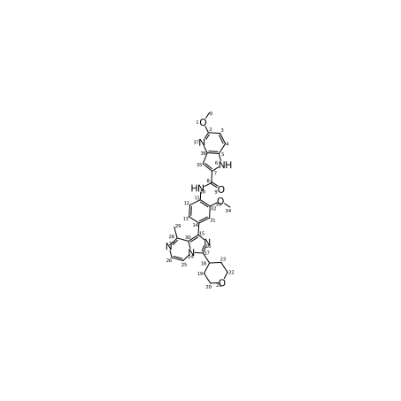 COc1ccc2[nH]c(C(=O)Nc3ccc(-c4nc(C5CCOCC5)n5ccnc(C)c45)cc3OC)cc2n1